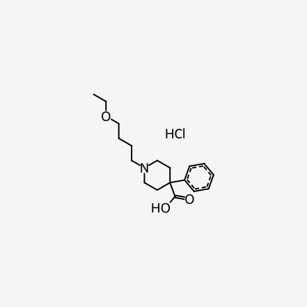 CCOCCCCN1CCC(C(=O)O)(c2ccccc2)CC1.Cl